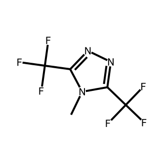 Cn1c(C(F)(F)F)nnc1C(F)(F)F